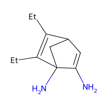 CCC1=C(CC)C2(N)CC1C=C2N